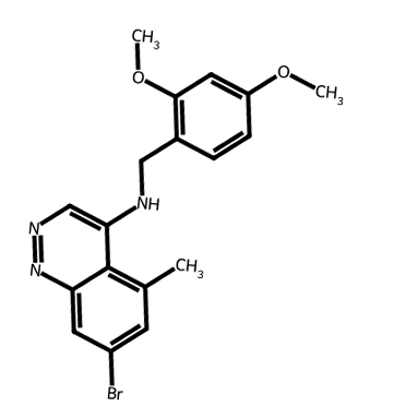 COc1ccc(CNc2cnnc3cc(Br)cc(C)c23)c(OC)c1